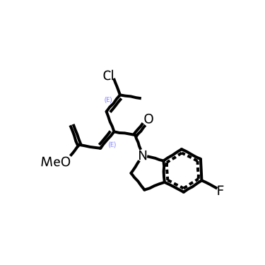 C=C(/C=C(\C=C(/C)Cl)C(=O)N1CCc2cc(F)ccc21)OC